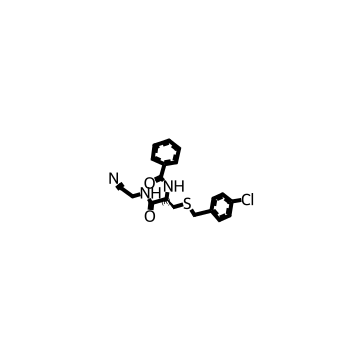 N#CCNC(=O)[C@H](CSCc1ccc(Cl)cc1)NC(=O)c1ccccc1